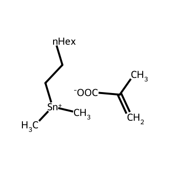 C=C(C)C(=O)[O-].CCCCCCC[CH2][Sn+]([CH3])[CH3]